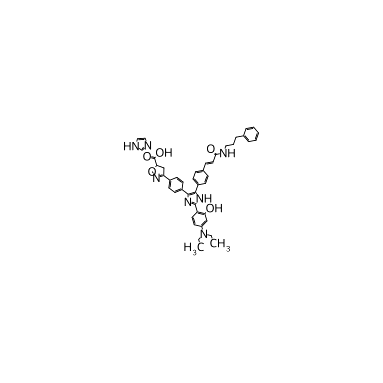 CCN(CC)c1ccc(-c2nc(-c3ccc(C4=NOC(C(=O)O)C4)cc3)c(-c3ccc(C=CC(=O)NCCCc4ccccc4)cc3)[nH]2)c(O)c1.c1c[nH]cn1